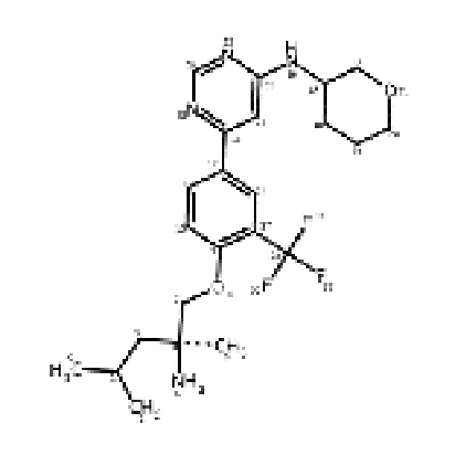 CC(C)C[C@](C)(N)COc1ccc(-c2cc(NC3CCCOC3)ncn2)cc1C(F)(F)F